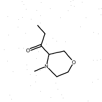 CCC(=O)C1COCCN1C